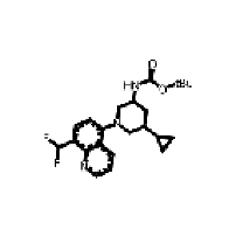 CC(C)(C)OC(=O)NC1CC(C2CC2)CN(c2ccc(C(F)F)c3ncccc23)C1